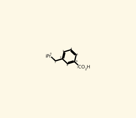 CC(C)Cc1cccc(C(=O)O)c1